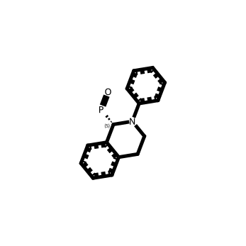 O=P[C@H]1c2ccccc2CCN1c1ccccc1